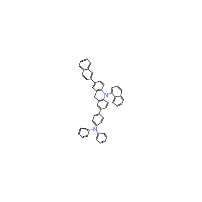 c1ccc(N(c2ccccc2)c2ccc(-c3ccc4c(c3)Cc3cc(-c5ccc6ccccc6c5)ccc3N4c3cccc4ccccc34)cc2)cc1